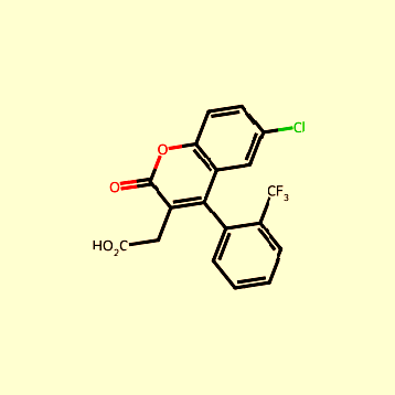 O=C(O)Cc1c(-c2ccccc2C(F)(F)F)c2cc(Cl)ccc2oc1=O